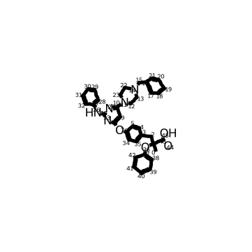 CC(Cc1ccc(Oc2cc(N3CCN(Cc4ccccc4)CC3)nc(Nc3ccccc3)n2)cc1)(Oc1ccccc1)C(=O)O